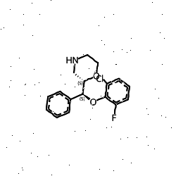 Fc1cccc(Cl)c1O[C@@H](c1ccccc1)[C@@H]1CNCCO1